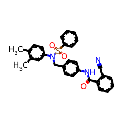 Cc1ccc(N(Cc2ccc(NC(=O)c3ccccc3C#N)cc2)S(=O)(=O)c2ccccc2)cc1C